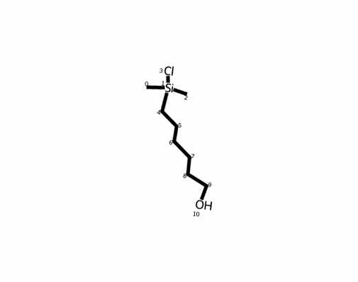 C[Si](C)(Cl)CCCCCCO